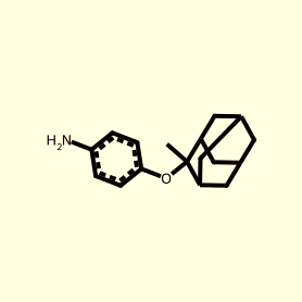 CC1(Oc2ccc(N)cc2)C2CC3CC(C2)CC1C3